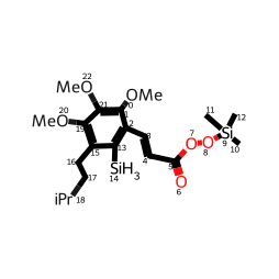 COc1c(/C=C/C(=O)OO[Si](C)(C)C)c([SiH3])c(CCC(C)C)c(OC)c1OC